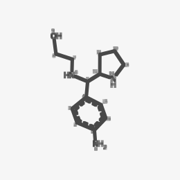 Nc1ccc(C(NCCO)C2CCCN2)cc1